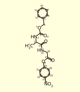 CC(NC(=O)OCc1ccccc1)C(=O)NCC(=O)Oc1ccc([N+](=O)[O-])cc1